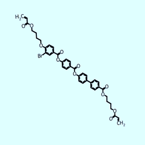 C=CC(=O)OCCCCOC(=O)c1ccc(-c2ccc(OC(=O)c3ccc(OC(=O)c4ccc(OCCCCOC(=O)C=C)c(Br)c4)cc3)cc2)cc1